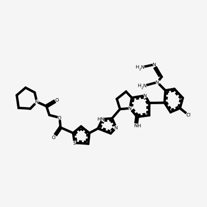 N=c1cc(-c2cc(Cl)ccc2N(N)/C=N\N)nc2n1C(c1ncc(-c3csc(C(=O)OCC(=O)N4CCCCC4)c3)[nH]1)CC2